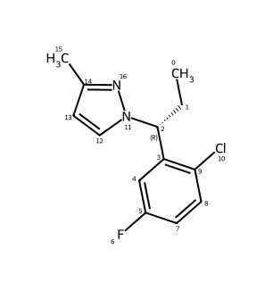 CC[C@H](c1cc(F)ccc1Cl)n1ccc(C)n1